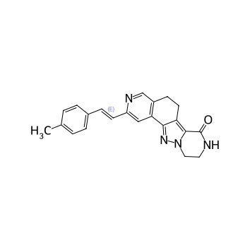 Cc1ccc(/C=C/c2cc3c(cn2)CCc2c-3nn3c2C(=O)NCC3)cc1